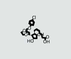 O=C(O)CCC/C=C\C[C@@H]1[C@@H](/C=C/C2(COc3ccc(Cl)cc3)OCCO2)[C@H](O)C[C@@H]1O